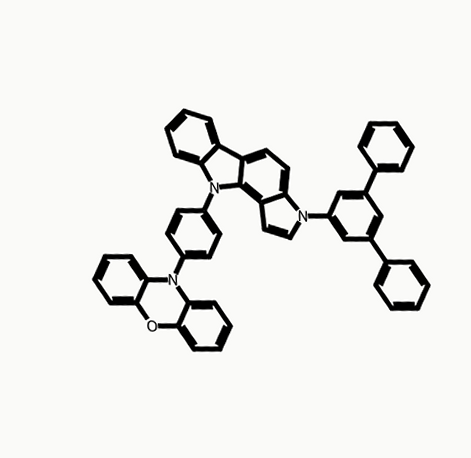 c1ccc(-c2cc(-c3ccccc3)cc(-n3ccc4c3ccc3c5ccccc5n(-c5ccc(N6c7ccccc7Oc7ccccc76)cc5)c34)c2)cc1